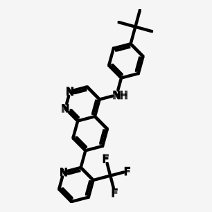 CC(C)(C)c1ccc(Nc2cnnc3cc(-c4ncccc4C(F)(F)F)ccc23)cc1